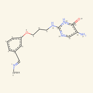 CCCCCCN=Cc1cccc(OCCCNc2ncc(N)c(=O)[nH]2)c1